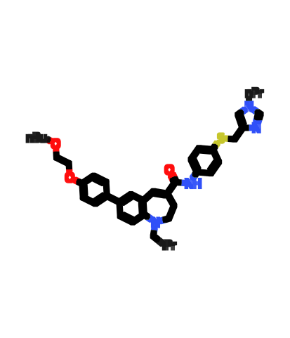 CCCCOCCOc1ccc(-c2ccc3c(c2)C=C(C(=O)Nc2ccc(SCc4cn(CCC)cn4)cc2)CCN3CC(C)C)cc1